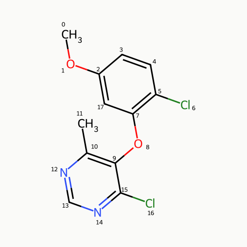 COc1ccc(Cl)c(Oc2c(C)ncnc2Cl)c1